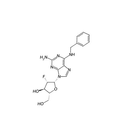 Nc1nc(NCc2ccccc2)c2ncn([C@@H]3O[C@H](CO)[C@@H](O)[C@@H]3F)c2n1